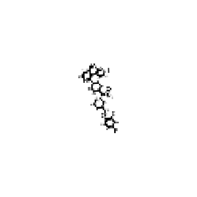 O=S(=O)=C(C1CCC(c2nccc3cnc4[nH]ccc4c23)CC1)N1CCCC(COc2ccc(F)cc2F)C1